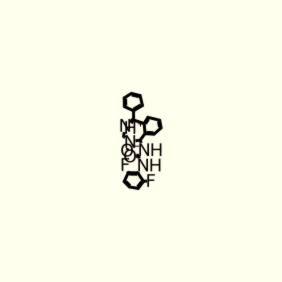 O=C(Nc1c(F)cccc1F)NC1c2ccccc2C(c2ccccc2)=NC[NH+]1[O-]